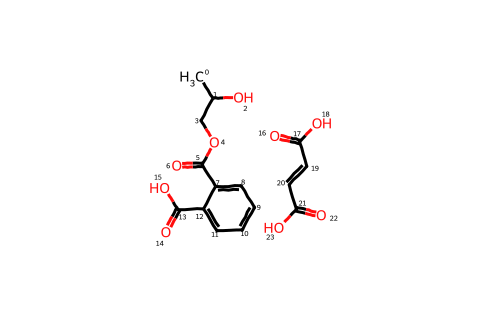 CC(O)COC(=O)c1ccccc1C(=O)O.O=C(O)/C=C/C(=O)O